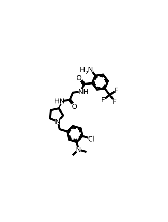 CN(C)c1cc(CN2CC[C@@H](NC(=O)CNC(=O)c3cc(C(F)(F)F)ccc3N)C2)ccc1Cl